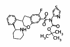 CC(C)(C)OC(=O)N(c1cscn1)S(=O)(=O)c1cc2c(cc1F)CC(c1ccccc1[C@@H]1CCCCN1)CO2